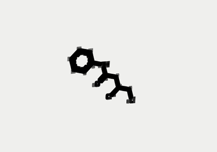 O=C(CC(Cl)CCl)Nc1ccccc1